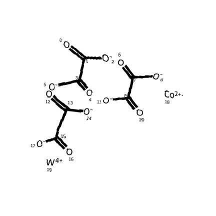 O=C([O-])C(=O)[O-].O=C([O-])C(=O)[O-].O=C([O-])C(=O)[O-].[Co+2].[W+4]